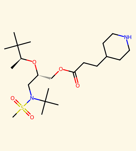 C[C@H](O[C@H](COC(=O)CCC1CCNCC1)CN(C(C)(C)C)S(C)(=O)=O)C(C)(C)C